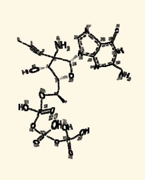 CC#CC1(N)[C@@H](O)[C@@H]([C@@H](C)OP(=O)(O)OP(=O)(O)OP(=O)(O)O)O[C@H]1n1cnc2c(=O)[nH]c(N)nc21